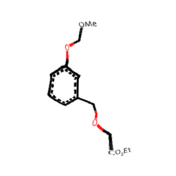 CCOC(=O)COCc1cccc(OCOC)c1